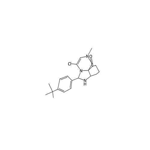 CN1C=C(Cl)N2C(c3ccc(C(C)(C)C)cc3)NC3CCCC(=O)C32C1